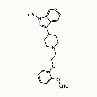 CCCn1cc(C2CCN(CCOc3ccccc3OC=O)CC2)c2ccccc21